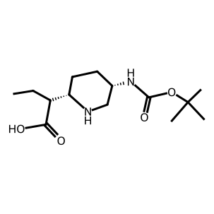 CCC(C(=O)O)[C@@H]1CC[C@H](NC(=O)OC(C)(C)C)CN1